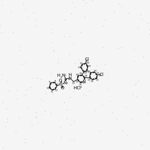 Cl.N/C(=N\S(=O)(=O)c1ccccc1)NCc1cnc(-c2ccc(Cl)cc2)c(-c2ccc(Cl)cc2)c1